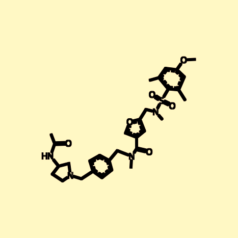 COc1cc(C)c(S(=O)(=O)N(C)Cc2cc(C(=O)N(C)Cc3ccc(CN4CCC(NC(C)=O)C4)cc3)co2)c(C)c1